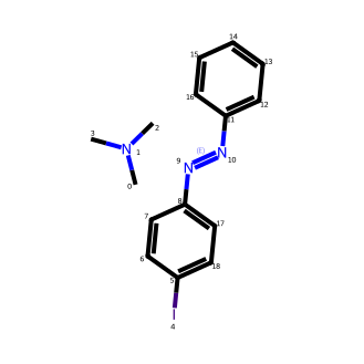 CN(C)C.Ic1ccc(/N=N/c2ccccc2)cc1